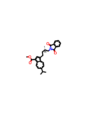 COC(=O)c1cc(CC[C@H](C)CN2C(=O)c3ccccc3C2=O)c2ccc(C(C)C)ccc1-2